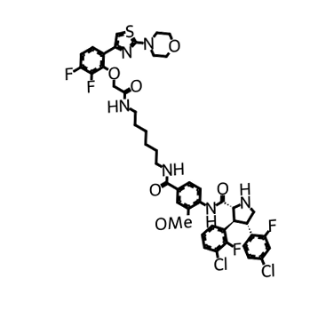 COc1cc(C(=O)NCCCCCCNC(=O)COc2c(-c3csc(N4CCOCC4)n3)ccc(F)c2F)ccc1NC(=O)[C@@H]1NC[C@H](c2ccc(Cl)cc2F)[C@H]1c1cccc(Cl)c1F